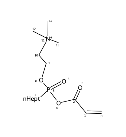 C=CC(=O)OP(=O)(CCCCCCC)OCC[N+](C)(C)C